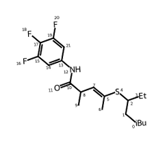 CCC(C)CC(CC)S/C(C)=C/C(C)C(=O)Nc1cc(F)c(F)c(F)c1